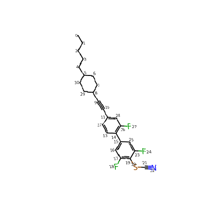 CCCCCC1CCC(C#Cc2ccc(-c3cc(F)c(SC#N)c(F)c3)c(F)c2)CC1